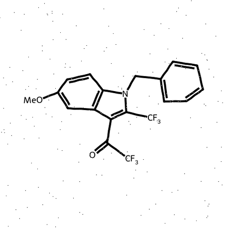 COc1ccc2c(c1)c(C(=O)C(F)(F)F)c(C(F)(F)F)n2Cc1ccccc1